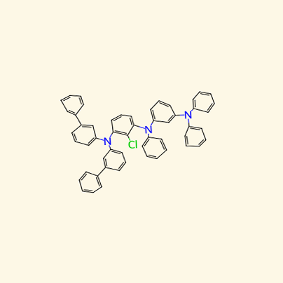 Clc1c(N(c2cccc(-c3ccccc3)c2)c2cccc(-c3ccccc3)c2)cccc1N(c1ccccc1)c1cccc(N(c2ccccc2)c2ccccc2)c1